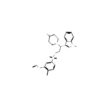 C=CNc1cc(S(=O)(=O)NCC(c2cn(C)c3ccccc23)N2CCC(O)CC2)ccc1C